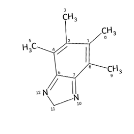 Cc1c(C)c(C)c2c(c1C)=NCN=2